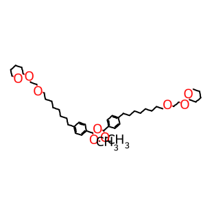 COC(OC(OC)c1ccc(CCCCCCCCOCCOC2CCCCO2)cc1)c1ccc(CCCCCCCCOCCOC2CCCCO2)cc1